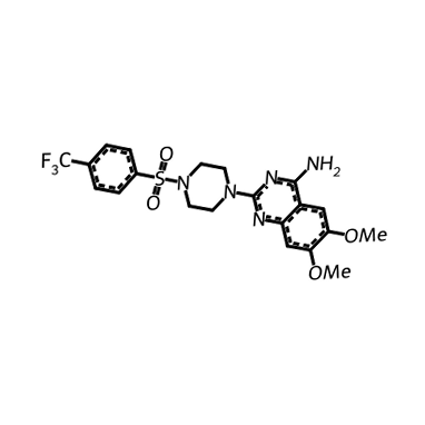 COc1cc2nc(N3CCN(S(=O)(=O)c4ccc(C(F)(F)F)cc4)CC3)nc(N)c2cc1OC